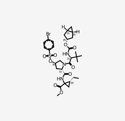 CC[C@@H]1CC1(NC(=O)[C@@H]1C[C@@H](OS(=O)(=O)c2ccc(Br)cc2)CN1C(=O)[C@@H](NC(=O)O[C@@H]1C[C@@H]2C[C@@H]2C1)C(C)(C)C)C(=O)OC